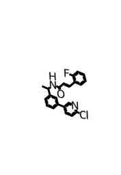 CC(NC(=O)C=Cc1ccccc1F)c1cccc(-c2ccc(Cl)nc2)c1